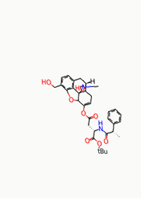 C[C@H](C(=O)N[C@@H](CC(=O)OC1=CC[C@@]2(O)[C@H]3Cc4ccc(CO)c5c4C2(CCN3C)C1O5)C(=O)OC(C)(C)C)c1ccccc1